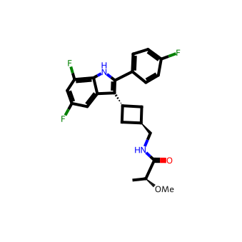 CO[C@@H](C)C(=O)NC[C@H]1C[C@H](c2c(-c3ccc(F)cc3)[nH]c3c(F)cc(F)cc32)C1